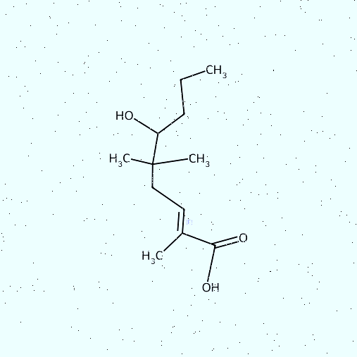 CCCC(O)C(C)(C)C/C=C(\C)C(=O)O